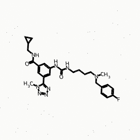 CN(CCCCNC(=O)Nc1cc(C(=O)NCC2CC2)cc(-c2nnnn2C)c1)Cc1ccc(F)cc1